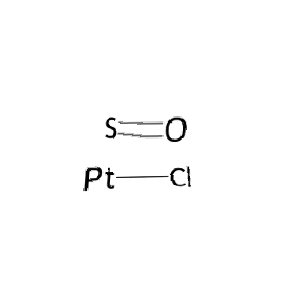 O=S.[Cl][Pt]